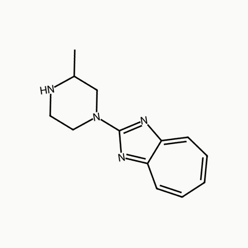 CC1CN(c2nc3cccccc-3n2)CCN1